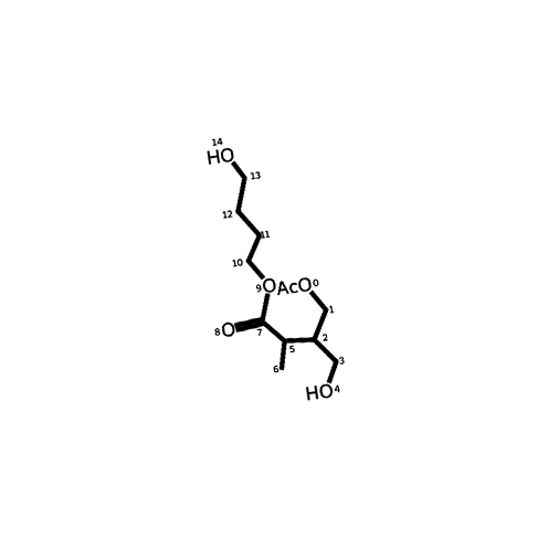 CC(=O)OCC(CO)C(C)C(=O)OCCCCO